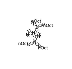 CCCCCCCCOc1ccc(N(c2ccc(OCCCCCCCC)cc2)c2ccc(-c3c4nsnc4c(-c4ccc(N(c5ccc(OCCCCCCCC)cc5)c5ccc(OCCCCCCCC)cc5)cc4)c4nc5c6cccnc6c6ncccc6c5nc34)cc2)cc1